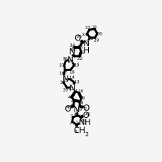 C=C1CCC(N2C(=O)c3ccc(N4CCN(CC5CCN(c6ccc(C(=O)NC7CCCCC7)cn6)CC5)CC4)cc3C2=O)C(=O)N1